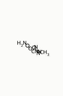 Cn1cc(-c2nccc(Oc3ccc(N)cc3)c2C#N)cn1